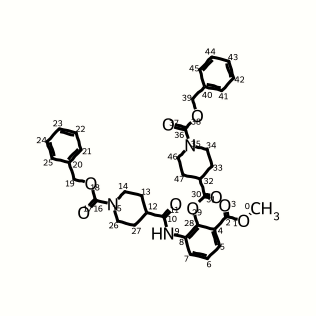 COC(=O)c1cccc(NC(=O)C2CCN(C(=O)OCc3ccccc3)CC2)c1OC(=O)C1CCN(C(=O)OCc2ccccc2)CC1